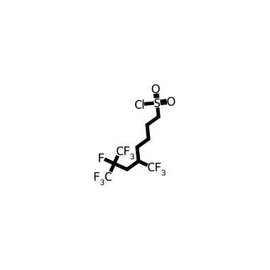 O=S(=O)(Cl)CCCCC(CC(F)(C(F)(F)F)C(F)(F)F)C(F)(F)F